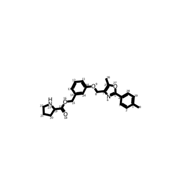 Cc1ccc(-c2nc(COc3cccc(COC(=O)C4CCCN4)c3)c(C)o2)cc1